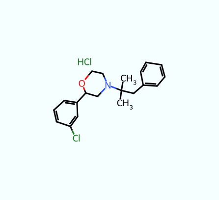 CC(C)(Cc1ccccc1)N1CCOC(c2cccc(Cl)c2)C1.Cl